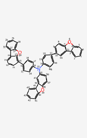 c1ccc2c(c1)oc1ccc(-c3ccc(N(c4ccc(-c5cccc6c5oc5ccccc56)cc4)c4ccc5oc6ccccc6c5c4)cc3)cc12